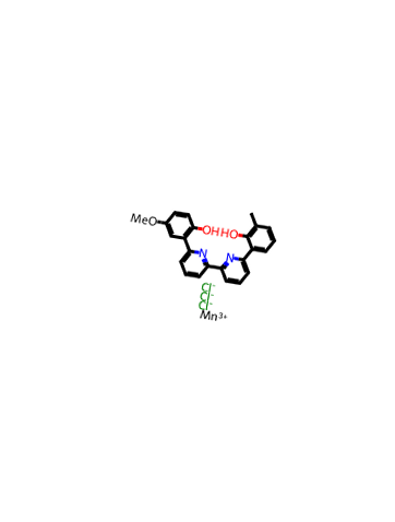 COc1ccc(O)c(-c2cccc(-c3cccc(-c4cccc(C)c4O)n3)n2)c1.[Cl-].[Cl-].[Cl-].[Mn+3]